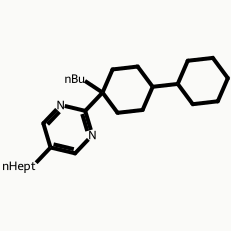 CCCCCCCc1cnc(C2(CCCC)CCC(C3CCCCC3)CC2)nc1